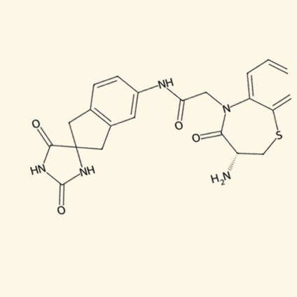 N[C@H]1CSc2ccccc2N(CC(=O)Nc2ccc3c(c2)CC2(C3)NC(=O)NC2=O)C1=O